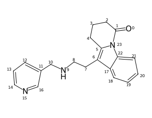 O=C1CCCc2c(CCNCc3cccnc3)c3ccccc3n21